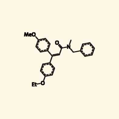 CCOc1ccc(C(=CC(=O)N(C)Cc2ccccc2)c2ccc(OC)cc2)cc1